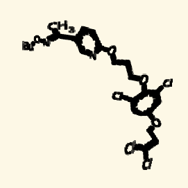 CCC(C)ON=C(C)c1ccc(OCCCOc2c(Cl)cc(OCC=C(Cl)Cl)cc2Cl)nc1